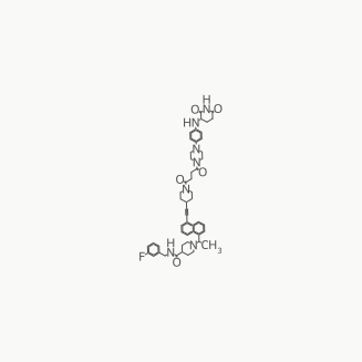 CC(c1cccc2c(C#CC3CCN(C(=O)CCC(=O)N4CCN(c5ccc(NC6CCC(=O)NC6=O)cc5)CC4)CC3)cccc12)N1CCC(C(=O)NCc2cccc(F)c2)CC1